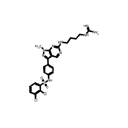 Cn1nc(-c2ccc(NS(=O)(=O)c3cccc(Cl)c3Cl)cc2)c2cnc(NCCCCNC(=N)N)nc21